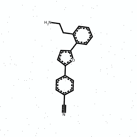 N#Cc1ccc(-c2ccc(-c3ccccc3CCN)o2)cc1